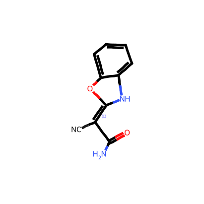 N#C/C(C(N)=O)=C1/Nc2ccccc2O1